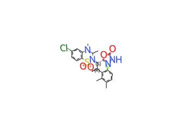 Cc1ccc(F)c([C@@H](C)[C@@H](c2n[nH]c(=O)o2)N2C(C)N(C)c3cc(Cl)ccc3S2(=O)=O)c1C